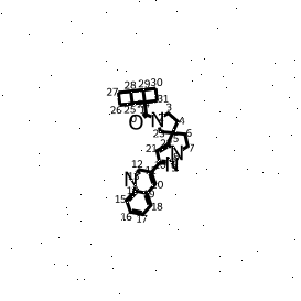 O=C(N1CCC2(CCn3nc(-c4cnc5ccccc5c4)cc32)C1)C12C3C4C5C3C1C5C42